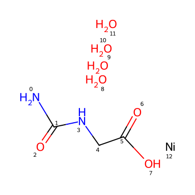 NC(=O)NCC(=O)O.O.O.O.O.[Ni]